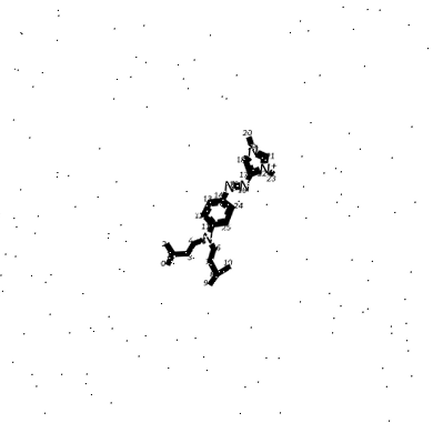 CC(C)CCN(CCC(C)C)c1ccc(/N=N/c2cn(C)c[n+]2C)cc1